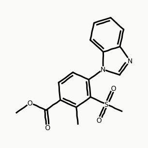 COC(=O)c1ccc(-n2cnc3ccccc32)c(S(C)(=O)=O)c1C